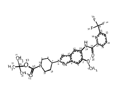 COc1cc2nn(C3CCN(C(=O)OC(C)(C)C)CC3)cc2cc1NC(=O)c1cccc(C(F)(F)F)n1